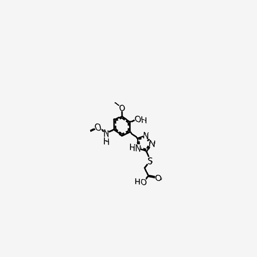 CONc1cc(OC)c(O)c(-c2nnc(SCC(=O)O)[nH]2)c1